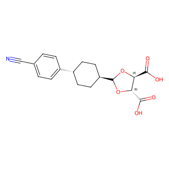 N#Cc1ccc([C@H]2CC[C@H](C3O[C@@H](C(=O)O)[C@H](C(=O)O)O3)CC2)cc1